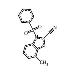 Cc1cccc2c1cc(C#N)n2S(=O)(=O)c1ccccc1